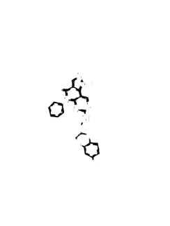 O=c1c2cn[nH]c2c2cnc(NC[C@H]3COc4cc(Cl)ccc4O3)nc2n1-c1ccccc1